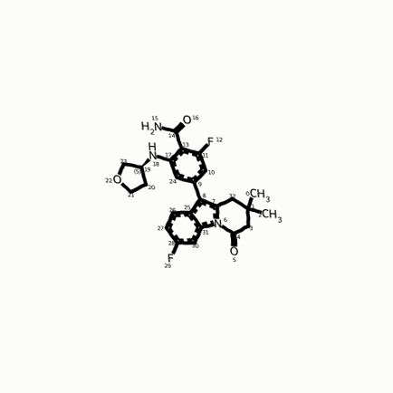 CC1(C)CC(=O)n2c(c(-c3cc(F)c(C(N)=O)c(N[C@H]4CCOC4)c3)c3ccc(F)cc32)C1